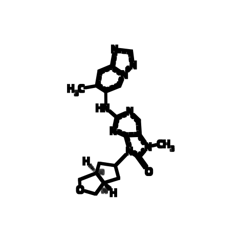 Cc1cc2ncnn2cc1Nc1ncc2c(n1)n(C1C[C@@H]3COC[C@H]3C1)c(=O)n2C